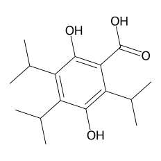 CC(C)c1c(O)c(C(C)C)c(C(C)C)c(O)c1C(=O)O